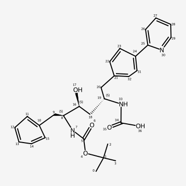 CC(C)(C)OC(=O)N[C@@H](Cc1ccccc1)[C@@H](O)C[C@H](Cc1ccc(-c2ccccn2)cc1)NC(=O)O